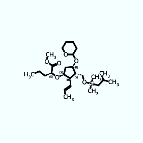 CC=C[C@@H]1[C@@H](CO[Si](C)(C)CC(C)C)[C@H](OC2CCCCO2)C[C@@H]1O[C@@H](CCC)C(=O)OC